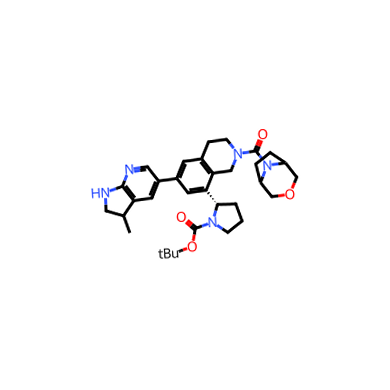 CC1CNc2ncc(-c3cc4c(c([C@@H]5CCCN5C(=O)OC(C)(C)C)c3)CN(C(=O)N3C5CCC3COC5)CC4)cc21